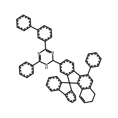 C1=Cc2c(cc(-c3ccccc3)c3c2C2(c4ccccc4-c4ccccc42)c2cc(C4N=C(c5cccc(-c6ccccc6)c5)N=C(c5ccccc5)N4)ccc2-3)CC1